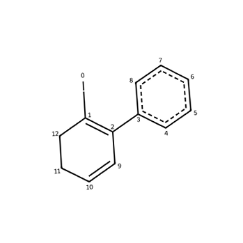 IC1=C(c2ccccc2)C=CCC1